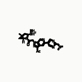 BB[C@@H]1C[C@@]2(C)C[C@H]2N1C(=O)Cn1nc(C(C)=O)c2cc(-c3cnc(CN(C)C)nc3)ncc21